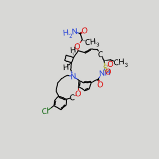 CC[C@@H]1CC/C=C/[C@H](O[C@@H](C)C(N)=O)[C@@H]2CC[C@H]2CN2CCCCc3cc(Cl)ccc3COc3ccc(cc32)C(=O)NS1(=O)=O